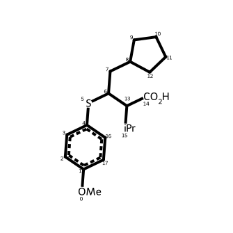 COc1ccc(SC(CC2CCCC2)C(C(=O)O)C(C)C)cc1